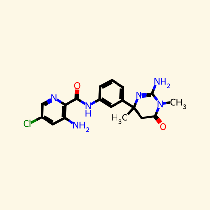 CN1C(=O)CC(C)(c2cccc(NC(=O)c3ncc(Cl)cc3N)c2)N=C1N